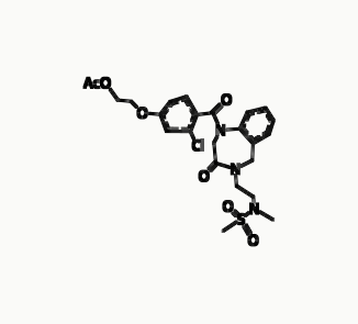 CC(=O)OCCOc1ccc(C(=O)N2CC(=O)N(CCN(C)S(C)(=O)=O)Cc3ccccc32)c(Cl)c1